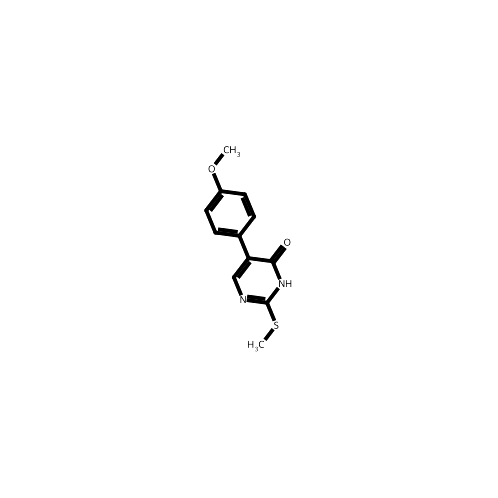 COc1ccc(-c2cnc(SC)[nH]c2=O)cc1